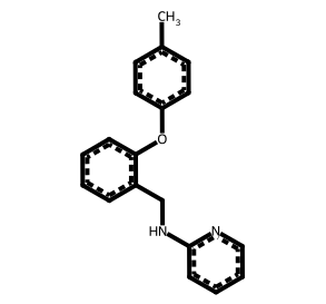 Cc1ccc(Oc2ccccc2CNc2ccccn2)cc1